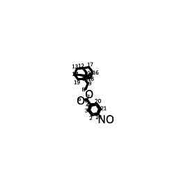 O=Nc1ccc(C(=O)OCCC23CC4CC(CC(C4)C2)C3)cc1